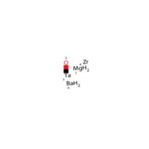 [BaH2].[MgH2].[O]=[Ta].[Zr]